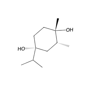 CC(C)[C@@]1(O)CC[C@](C)(O)[C@H](C)C1